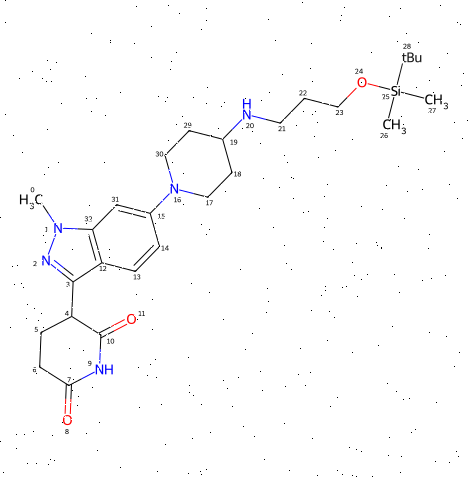 Cn1nc(C2CCC(=O)NC2=O)c2ccc(N3CCC(NCCCO[Si](C)(C)C(C)(C)C)CC3)cc21